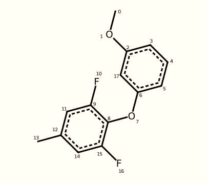 COc1cccc(Oc2c(F)cc(C)cc2F)c1